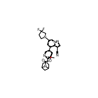 CC(C)(C)OC(=O)N1C2CC1CN(c1ccc(-c3cc(N4CCC(F)(F)C4)cn4ncc(C#N)c34)cn1)C2